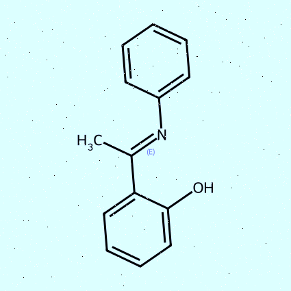 C/C(=N\c1ccccc1)c1ccccc1O